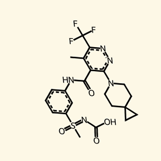 Cc1c(C(F)(F)F)nnc(N2CCC3(CC2)CC3)c1C(=O)Nc1cccc(S(C)(=O)=NC(=O)O)c1